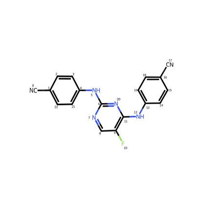 N#Cc1ccc(Nc2ncc(F)c(Nc3ccc(C#N)cc3)n2)cc1